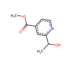 COC(=O)c1ccnc(C(C)O)c1